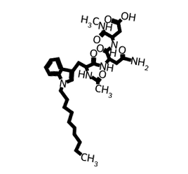 CCCCCCCCCCn1cc(CC(NC(C)=O)C(=O)NC(CC(N)=O)C(=O)NC(CC(=O)O)C(=O)NC)c2ccccc21